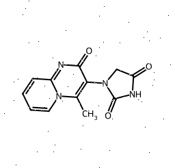 Cc1c(N2CC(=O)NC2=O)c(=O)nc2ccccn12